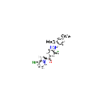 COc1ccc(CNc2ccc(C(=O)c3ccc4c(Br)cccn34)cc2F)c(OC)c1